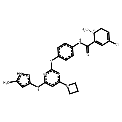 Cc1cc(Nc2cc(N3CCC3)nc(Sc3ccc(NC(=O)C4=CC(Cl)=CC[C@H]4C)cc3)n2)n[nH]1